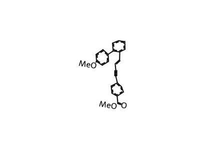 COC(=O)c1ccc(C#C/C=C/c2ccccc2-c2ccc(OC)cc2)cc1